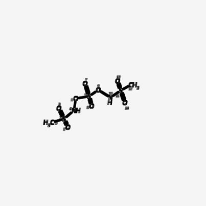 CS(=O)(=O)NOS(=O)(=O)ONS(C)(=O)=O